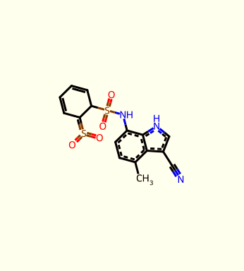 Cc1ccc(NS(=O)(=O)C2C=CC=CC2=S(=O)=O)c2[nH]cc(C#N)c12